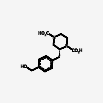 O=C(O)N1CCN(C(=O)O)[C@H](Cc2ccc(CO)cc2)C1